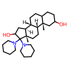 C[C@]12CC(O)CCC1CC[C@@H]1[C@H]2CC[C@@]2(C)[C@H]1CC(O)C2(N1CCCCC1)N1CCCCC1